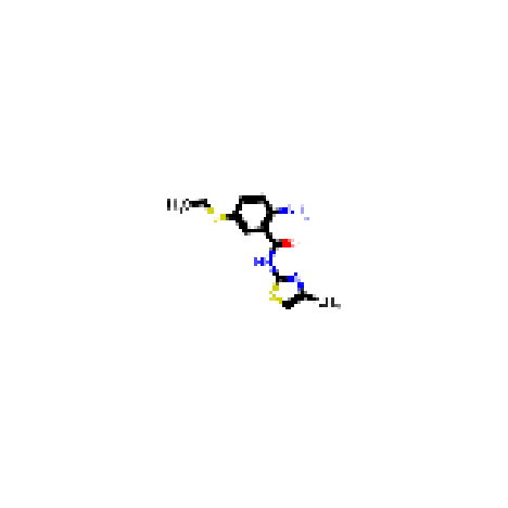 CCSc1ccc(N)c(C(=O)Nc2nc(C)cs2)c1